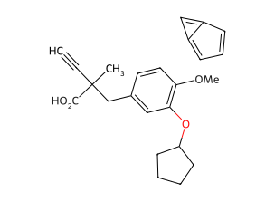 C#CC(C)(Cc1ccc(OC)c(OC2CCCC2)c1)C(=O)O.c1cc2cc-2c1